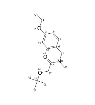 CCOc1ccc(CN(C)C(=O)COC(C)(C)C)cc1